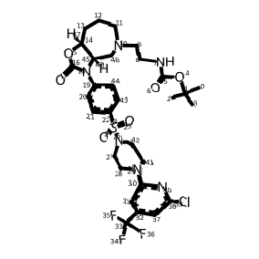 CC(C)(C)OC(=O)NCCN1CCC[C@H]2OC(=O)N(c3ccc(S(=O)(=O)N4CCN(c5cc(C(F)(F)F)cc(Cl)n5)CC4)cc3)[C@H]2C1